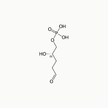 O=CCC[C@H](O)COP(=O)(O)O